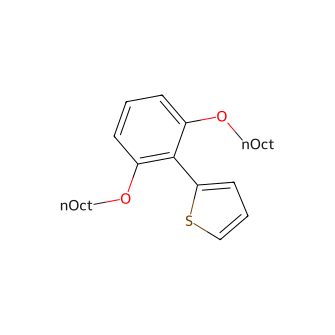 CCCCCCCCOc1cccc(OCCCCCCCC)c1-c1cccs1